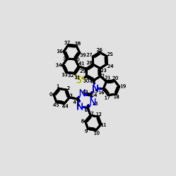 c1ccc(-c2nc(-c3ccccc3)nc(-n3c4ccccc4c4c5ccccc5c5c(sc6ccc7ccccc7c65)c43)n2)cc1